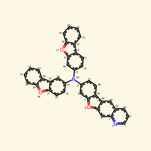 c1cnc2cc3oc4cc(N(c5ccc6c(c5)oc5ccccc56)c5ccc6oc7ccccc7c6c5)ccc4c3cc2c1